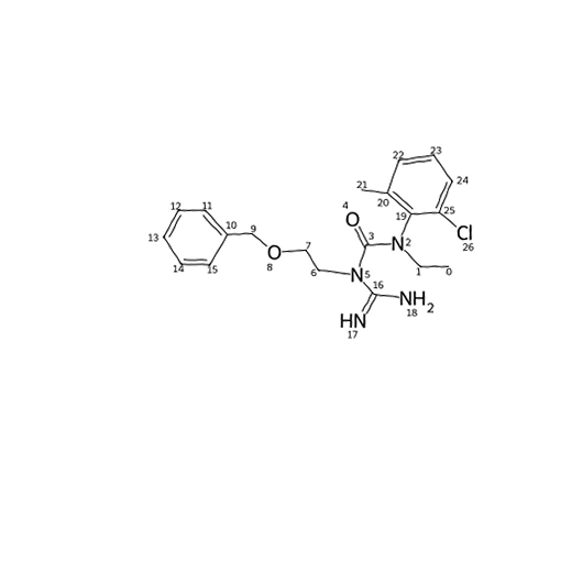 CCN(C(=O)N(CCOCc1ccccc1)C(=N)N)c1c(C)cccc1Cl